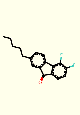 CCCCCc1ccc2c(c1)C(=O)c1ccc(F)c(F)c1-2